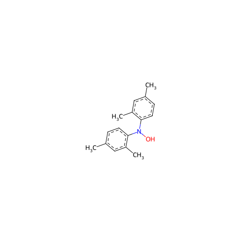 Cc1ccc(N(O)c2ccc(C)cc2C)c(C)c1